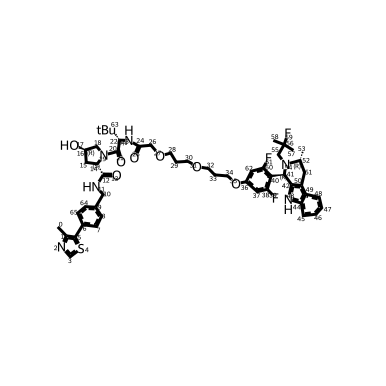 Cc1ncsc1-c1ccc(CNC(=O)[C@@H]2C[C@@H](O)CN2C(=O)[C@@H](NC(=O)COCCCOCCCOc2cc(F)c([C@@H]3c4[nH]c5ccccc5c4C[C@@H](C)N3CC(C)(C)F)c(F)c2)C(C)(C)C)cc1